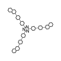 c1ccc2cc(-c3ccc(-c4ccc(-c5nc(-c6ccc(-c7ccc(-c8ccc9ccccc9c8)cc7)cc6)nc(-c6ccc(-c7ccc(-c8ccc9ccccc9c8)cc7)cc6)n5)cc4)cc3)ccc2c1